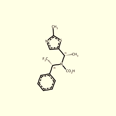 Cc1ncc([C@H](C)N(C(=O)O)[C@H](c2ccccc2)C(F)(F)F)s1